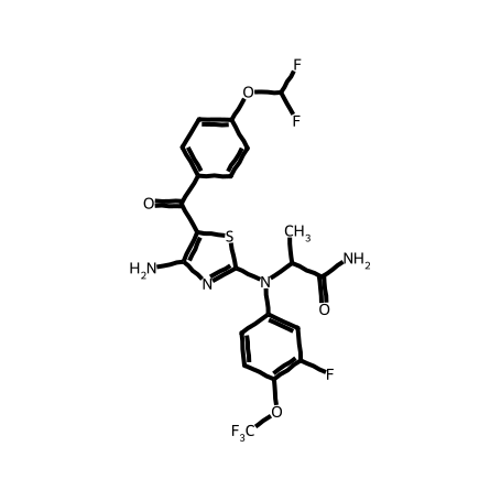 CC(C(N)=O)N(c1ccc(OC(F)(F)F)c(F)c1)c1nc(N)c(C(=O)c2ccc(OC(F)F)cc2)s1